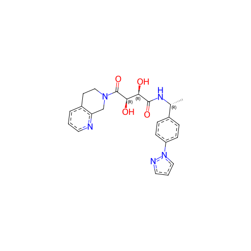 C[C@@H](NC(=O)[C@H](O)[C@@H](O)C(=O)N1CCc2cccnc2C1)c1ccc(-n2cccn2)cc1